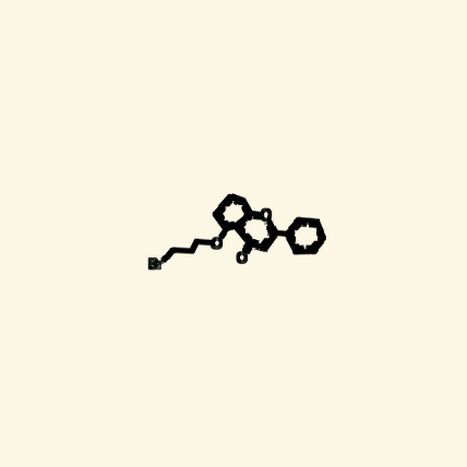 O=c1cc(-c2ccccc2)oc2cccc(OCCCBr)c12